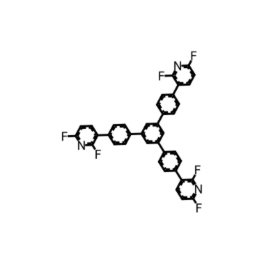 Fc1ccc(-c2ccc(-c3cc(-c4ccc(-c5ccc(F)nc5F)cc4)cc(-c4ccc(-c5ccc(F)nc5F)cc4)c3)cc2)c(F)n1